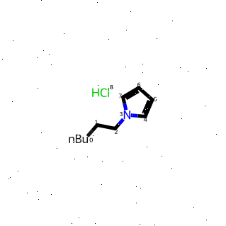 CCCCCCn1cccc1.Cl